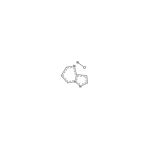 [N]Cl.c1cnc2ccnn2c1